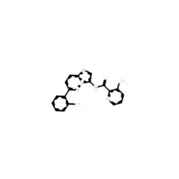 Cc1cccnc1C(=O)Nc1cnc2ccc(-c3ccccc3C(F)(F)F)nn12